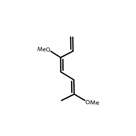 C=C/C(=C\C=C(/C)OC)OC